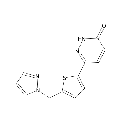 O=c1ccc(-c2ccc(Cn3cccn3)s2)n[nH]1